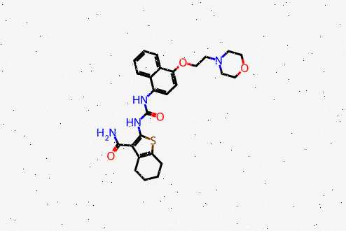 NC(=O)c1c(NC(=O)Nc2ccc(OCCN3CCOCC3)c3ccccc23)sc2c1CCCC2